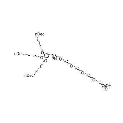 CCCCCCCCCCCCCCCCCCOc1cc(Cn2cc(COCCOCCOCCOCCOCCOCCOCCOCCP(=O)(O)F)nn2)cc(OCCCCCCCCCCCCCCCCCC)c1OCCCCCCCCCCCCCCCCCC